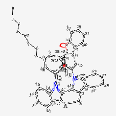 CCCCCCCCc1cccc(-n2c3ccccc3c3ccc4c5ccccc5n(-c5ccc6oc7ccccc7c6c5)c4c32)c1